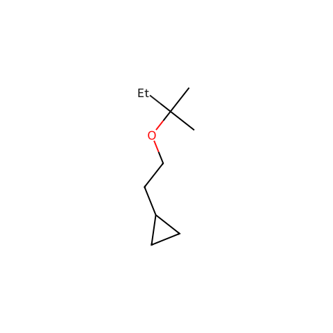 [CH2]CC(C)(C)OCCC1CC1